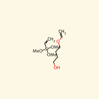 C=COCCCCO.C=C[Si](OC)(OC)OC